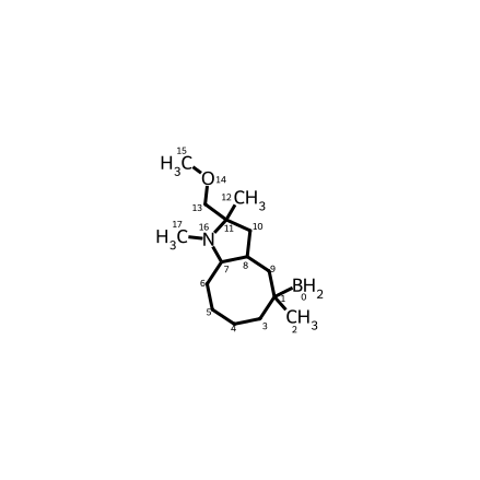 BC1(C)CCCCC2C(C1)CC(C)(COC)N2C